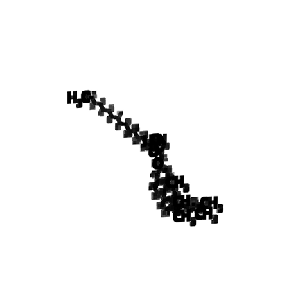 CCCCCCCCCCCCCCCC(=O)OC(CN)COC1CC[C@@]2(C)C(=CCC3C2CC[C@@]2(C)C3CC[C@@H]2[C@H](C)CCCC(C)C)C1